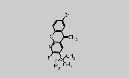 C=C1c2cc(Br)ccc2Oc2nc(F)c([Si](C)(C)C)cc21